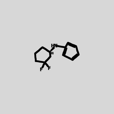 FC1(F)CCC[C@@H](Nc2ccccc2)C1